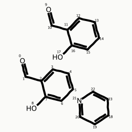 O=Cc1ccccc1O.O=Cc1ccccc1O.c1ccncc1